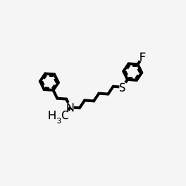 CN(CCCCCCSc1ccc(F)cc1)CCc1ccccc1